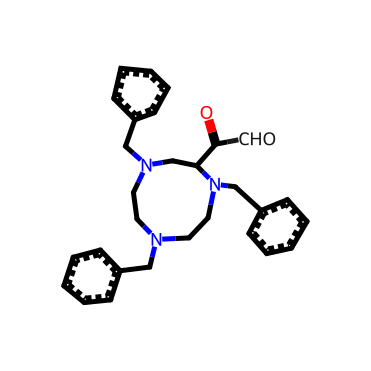 O=CC(=O)C1CN(Cc2ccccc2)CCN(Cc2ccccc2)CCN1Cc1ccccc1